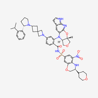 CC(C)c1ccccc1[C@@H]1CCCN1C1CC2(C1)CN(c1ccc(C(=O)NS(=O)(=O)c3cc4c(c([N+](=O)[O-])c3)N[C@@H](C3CCOCC3)CO4)c(N3c4cc5cc[nH]c5nc4O[C@@H]4COC[C@H]43)c1)C2